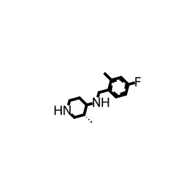 Cc1cc(F)ccc1CNC1CCNC[C@H]1C